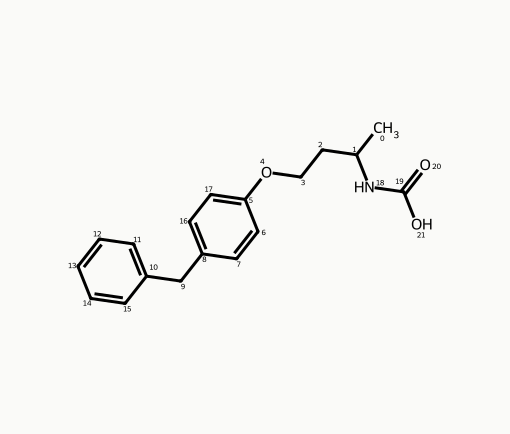 CC(CCOc1ccc(Cc2ccccc2)cc1)NC(=O)O